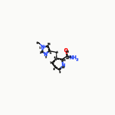 Cn1cnc(Cc2cccnc2C(N)=O)c1